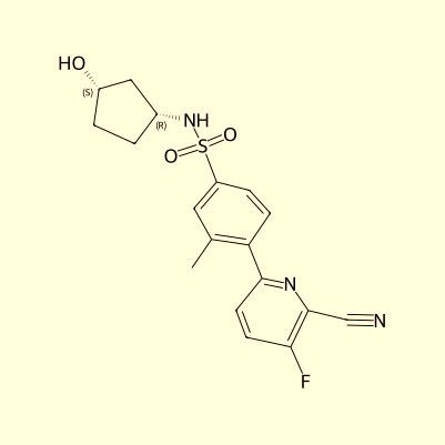 Cc1cc(S(=O)(=O)N[C@@H]2CC[C@H](O)C2)ccc1-c1ccc(F)c(C#N)n1